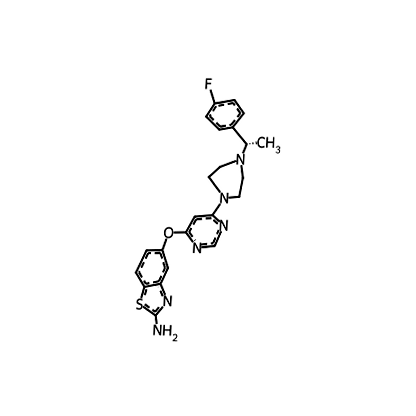 C[C@@H](c1ccc(F)cc1)N1CCN(c2cc(Oc3ccc4sc(N)nc4c3)ncn2)CC1